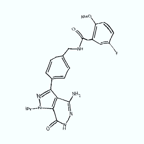 COc1ccc(F)cc1C(=O)NCc1ccc(-c2nn(C(C)C)c3c(=O)[nH]nc(N)c23)cc1